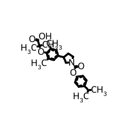 Cc1cc(C2CCN(C(=O)Oc3ccc(C(C)C)cc3)C2)cc(C)c1OC(C)(C)C(=O)O